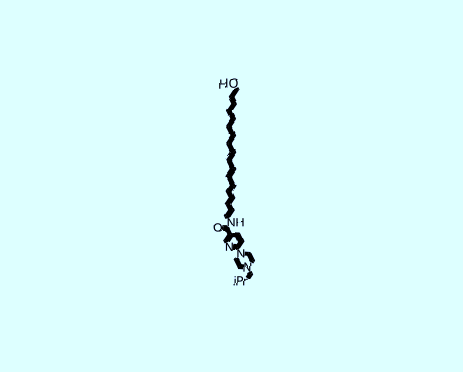 CC(C)CN1CCN(c2ccc(C(=O)NCCCCCCCCCCCCCCCCCCO)cn2)CC1